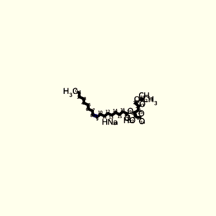 CCCCCCCC/C=C\CCCCCCCC(=O)OC1=C(O)C(=O)OC1C1COC(C)(C)O1.[NaH]